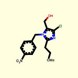 COCCc1nc(Cl)c(CO)n1Cc1ccc([N+](=O)[O-])cc1